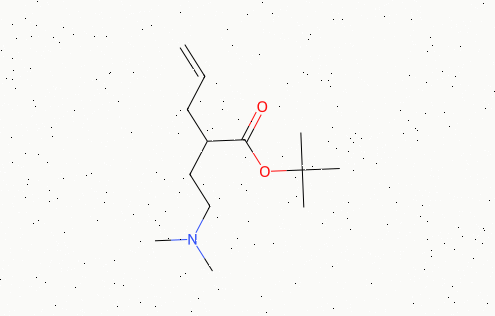 C=CCC(CCN(C)C)C(=O)OC(C)(C)C